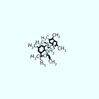 C=CCOc1c(C(C)(C)C)cc(C)cc1[Si](CC)(CC)C1C(C)=C(C)c2cc(C)sc21